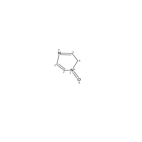 O=[N+]1[C]=CN=CC1